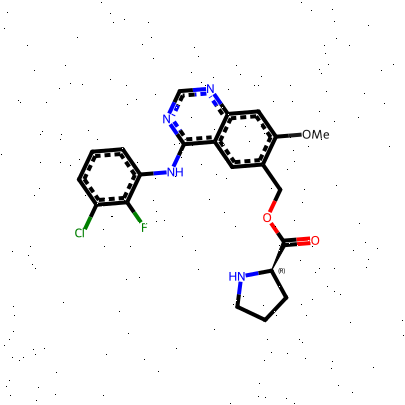 COc1cc2ncnc(Nc3cccc(Cl)c3F)c2cc1COC(=O)[C@H]1CCCN1